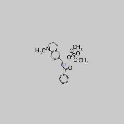 CN1CC=Cc2cc(/C=C/C(=O)c3ccccc3)ccc21.COS(=O)(=O)OC